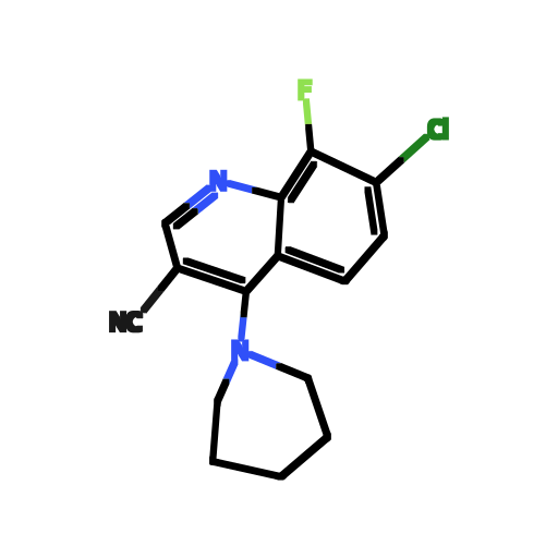 N#Cc1cnc2c(F)c(Cl)ccc2c1N1CCCCC1